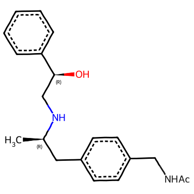 CC(=O)NCc1ccc(C[C@@H](C)NC[C@H](O)c2ccccc2)cc1